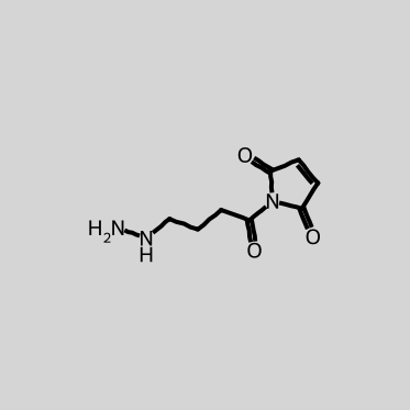 NNCCCC(=O)N1C(=O)C=CC1=O